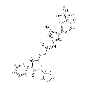 Cc1nc(NC(=O)CCCN[C@@H](C(=O)OC2CCCC2)c2ccccc2)sc1-c1ccc(Cl)c(S(C)(=O)=O)c1